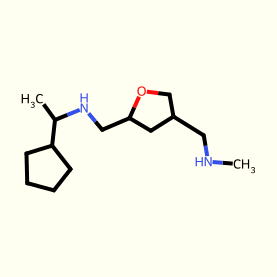 CNCC1COC(CNC(C)C2CCCC2)C1